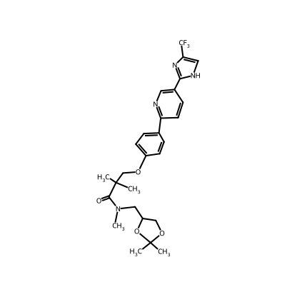 CN(CC1COC(C)(C)O1)C(=O)C(C)(C)COc1ccc(-c2ccc(-c3nc(C(F)(F)F)c[nH]3)cn2)cc1